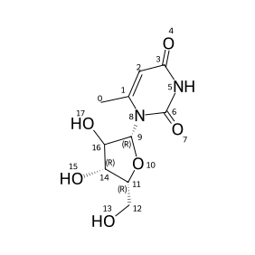 Cc1cc(=O)[nH]c(=O)n1[C@@H]1O[C@H](CO)[C@H](O)C1O